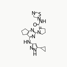 O=C(NN1CN=CS1)[C@@H]1CCCN1c1nc2c(c(Nc3cc(C4CC4)[nH]n3)n1)CCC2